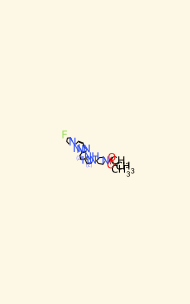 CC(C)(C)OC(=O)N1CCC(N/C=C\C(=N)/C=C\c2cnc3ccc(N4CCC(F)C4)nn23)CC1